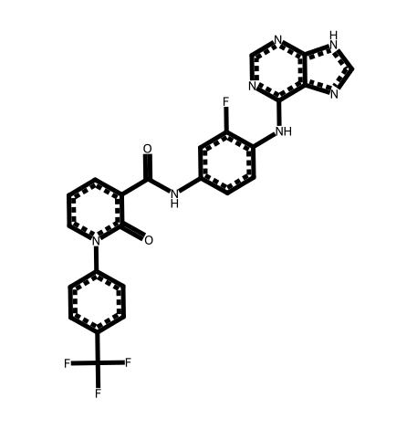 O=C(Nc1ccc(Nc2ncnc3[nH]cnc23)c(F)c1)c1cccn(-c2ccc(C(F)(F)F)cc2)c1=O